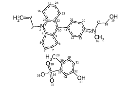 C=CC[n+]1c2ccccc2c(-c2ccc(N(C)CCO)cc2)c2ccccc21.Cc1ccc(O)cc1S(=O)(=O)[O-]